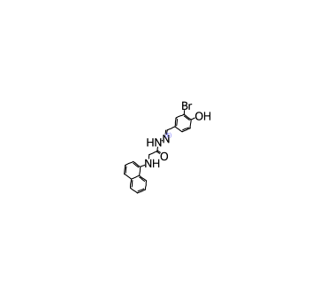 O=C(CNc1cccc2ccccc12)N/N=C/c1ccc(O)c(Br)c1